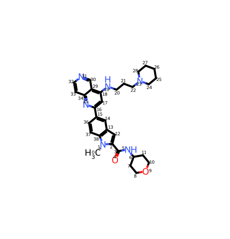 Cn1c(C(=O)NC2CCOCC2)cc2cc(-c3cc(NCCCN4CCCCC4)c4cnccc4n3)ccc21